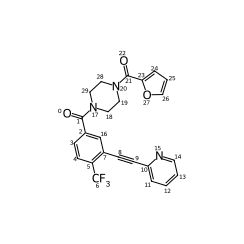 O=C(c1ccc(C(F)(F)F)c(C#Cc2ccccn2)c1)N1CCN(C(=O)c2ccco2)CC1